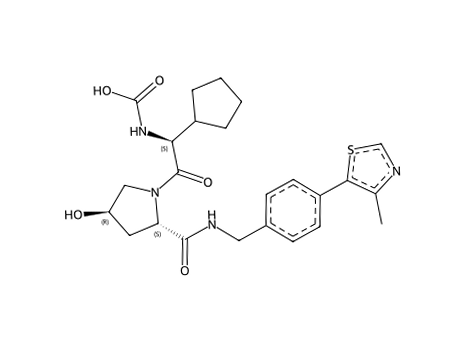 Cc1ncsc1-c1ccc(CNC(=O)[C@@H]2C[C@@H](O)CN2C(=O)[C@@H](NC(=O)O)C2CCCC2)cc1